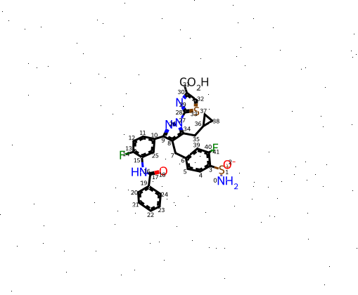 N[S+]([O-])c1ccc(Cc2c(-c3ccc(F)c(NC(=O)c4ccccc4)c3)nn(-c3nc(C(=O)O)cs3)c2CC2CC2)cc1F